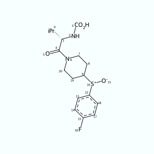 CC(C)[C@H](NC(=O)O)C(=O)N1CCC([S+]([O-])c2ccc(F)cc2)CC1